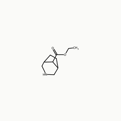 CCOC(=O)C1C2CCC1CNC2